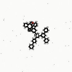 c1ccc(-c2ccc(-c3cc(-c4cc(-c5ccccc5)cc(-c5ccccc5)c4)nc(-c4ccc5c(c4)-c4ccccc4C54c5ccccc5-c5ccccc5-c5ccccc54)n3)cc2)cc1